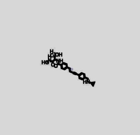 C[C@H](O)C(NC(=O)c1ccc(/C=C/C#Cc2ccc(CNC3CC3)cc2)cc1)C(=O)NO